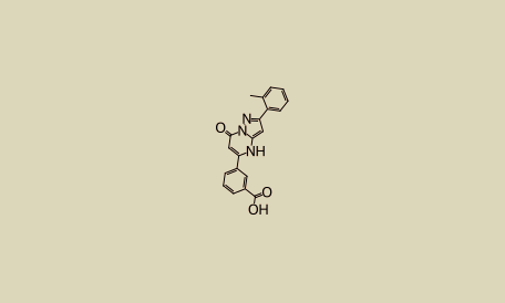 Cc1ccccc1-c1cc2[nH]c(-c3cccc(C(=O)O)c3)cc(=O)n2n1